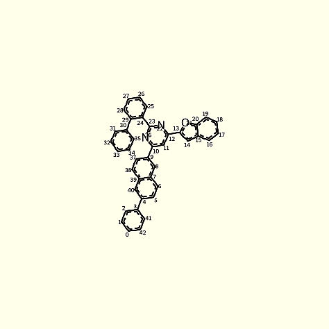 c1ccc(-c2ccc3cc(-c4cc(-c5cc6ccccc6o5)nc(-c5ccccc5-c5ccccc5)n4)ccc3c2)cc1